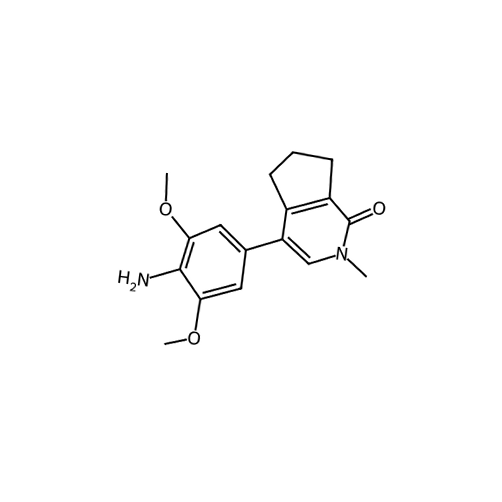 COc1cc(-c2cn(C)c(=O)c3c2CCC3)cc(OC)c1N